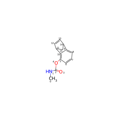 CNC(=O)Oc1cccc2c1C1C=CC2C1